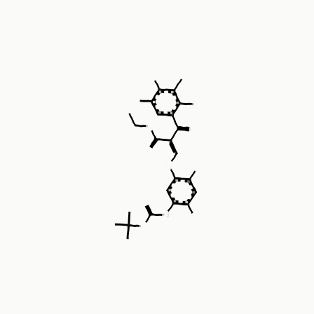 CCOC(=O)C(=CNc1cc(NC(=O)OC(C)(C)C)c(F)cc1F)C(=O)c1cc(F)c(F)c(C)c1F